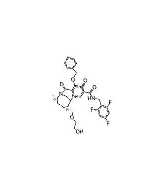 C[C@H]1CC[C@@H](COCCO)C2CN1C(=O)c1c(OCc3ccccc3)c(=O)c(C(=O)NCc3c(F)cc(F)cc3F)cn12